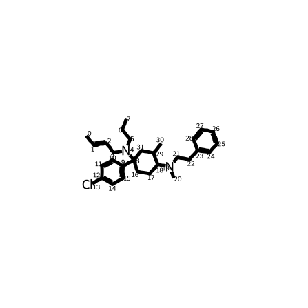 CC=CCN(CCC)C1(c2ccc(Cl)cc2)CCC(N(C)CCc2ccccc2)C(C)C1